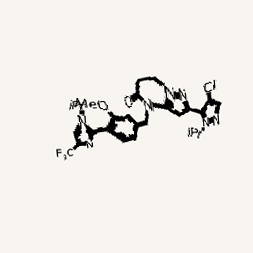 COc1cc(CN2C(=O)CCn3nc(-c4c(Cl)cnn4C(C)C)cc32)ccc1-c1nc(C(F)(F)F)cn1C(C)C